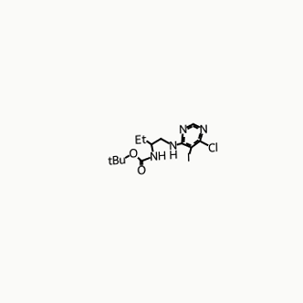 CCC(CNc1ncnc(Cl)c1I)NC(=O)OC(C)(C)C